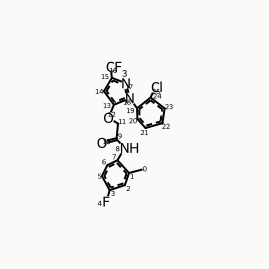 Cc1cc(F)ccc1NC(=O)COc1cc(C(F)(F)F)nn1-c1ccccc1Cl